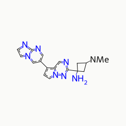 CNC1CC(N)(c2ncc3c(-c4cnc5nccn5c4)ccn3n2)C1